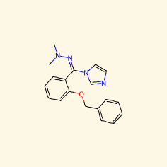 CN(C)/N=C(\c1ccccc1OCc1ccccc1)n1ccnc1